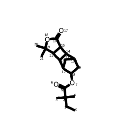 CCC(C)(C)C(=O)OC1CC2CC1C1C2C2C(=O)OC(C)(C)C21